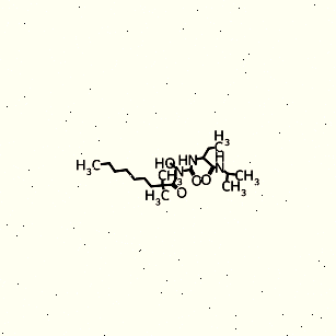 CCCCCCCC(C)(C)C(=O)N(O)C(=O)NC(CC)C(=O)NC(C)C